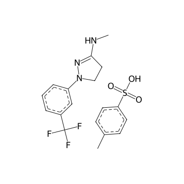 CNC1=NN(c2cccc(C(F)(F)F)c2)CC1.Cc1ccc(S(=O)(=O)O)cc1